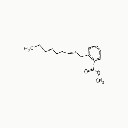 CCCCCCC=CCc1ccccc1C(=O)OC